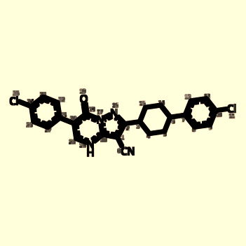 N#Cc1c(C2CCC(c3ccc(Cl)cc3)CC2)nn2c(=O)c(-c3ccc(Cl)cc3)c[nH]c12